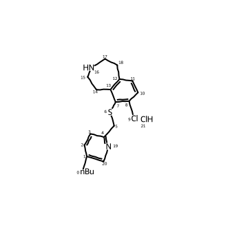 CCCCc1ccc(CSc2c(Cl)ccc3c2CCNCC3)nc1.Cl